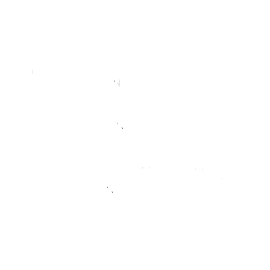 CCOC(=O)c1sc(Nc2cccnc2Oc2cccc3c2OC(C)(C)C3)nc1C(F)(F)F